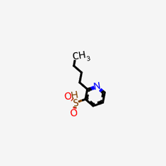 CCCCc1ncccc1[SH](=O)=O